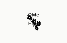 COc1cc(-n2cnc(Nc3nc(N4CCCC4)c4cccnc4n3)c2)cc(C)c1C